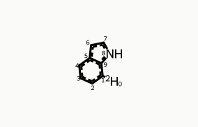 [2H]c1cccc2cc[nH]c12